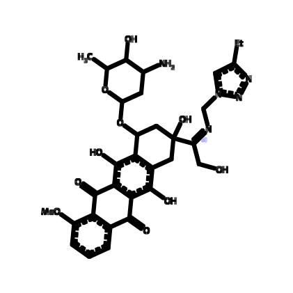 CCc1cn(C/N=C(/CO)C2(O)Cc3c(O)c4c(c(O)c3C(OC3CC(N)C(O)C(C)O3)C2)C(=O)c2c(OC)cccc2C4=O)nn1